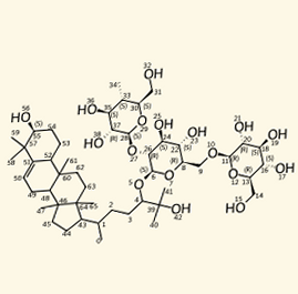 CC(CCC(O[C@@H]1O[C@H](CO[C@@H]2O[C@H](CO)[C@@H](O)[C@H](O)[C@H]2O)[C@@H](O)[C@H](O)[C@H]1O[C@@H]1O[C@H](CO)[C@@H](C)[C@H](O)[C@H]1O)C(C)(C)O)C1CCC2(C)C3CC=C4C(CC[C@H](O)C4(C)C)C3(C)CCC12C